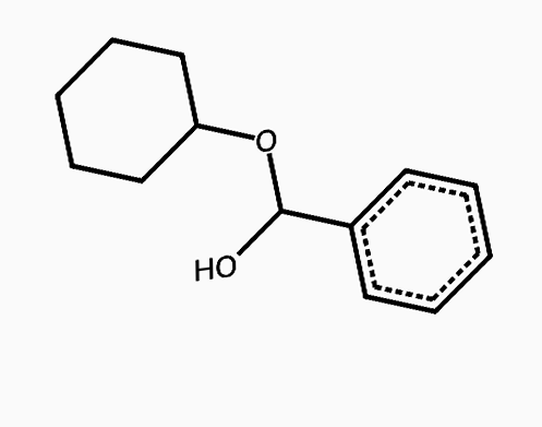 OC(OC1CCCCC1)c1ccccc1